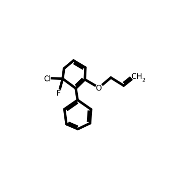 C=CCOC1=C(c2ccccc2)C(F)(Cl)CC=C1